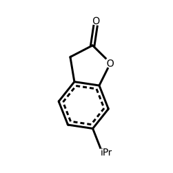 CC(C)c1ccc2c(c1)OC(=O)C2